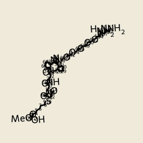 COP(O)OCCCCCCSC1CC(=O)N(CCC(=O)NCCC(=O)N2Cc3ccccc3-c3c(nnn3CCOCCOCCOCCOCCOCCN(N)/C=C(\N)CN)-c3ccccc32)C1=O